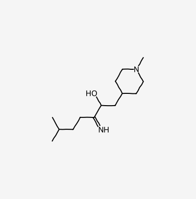 CC(C)CCC(=N)C(O)CC1CCN(C)CC1